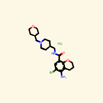 Cl.Nc1c(Br)cc(C(=O)NCC2CCN(CC3CCOCC3)CC2)c2c1CCCO2